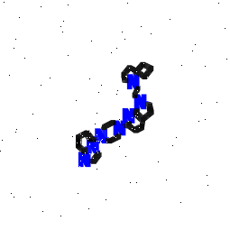 c1cc(N2CCN(c3ccc4ccn(CCN5CCCC56CCC6)c4n3)CC2)n2ccnc2c1